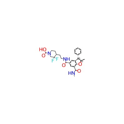 CNC(=O)c1cc(C(=O)NCCC2CCN(C(=O)O)CC2(F)F)cc2c1O[C@H](C)[C@H]2c1ccccc1